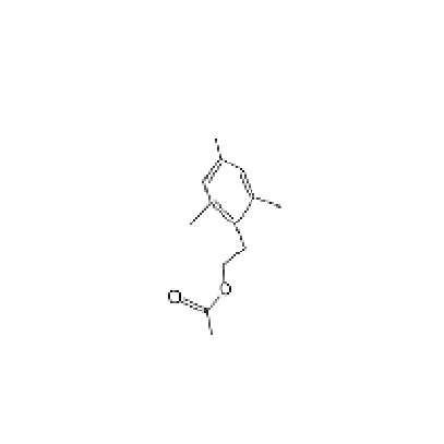 CC(=O)OCCc1c(C)cc(C)cc1C